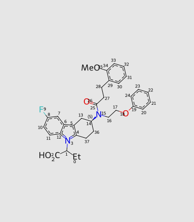 CCC(C(=O)O)n1c2c(c3cc(F)ccc31)C[C@@H](N(CCOc1ccccc1)C(=O)CCc1ccccc1OC)CC2